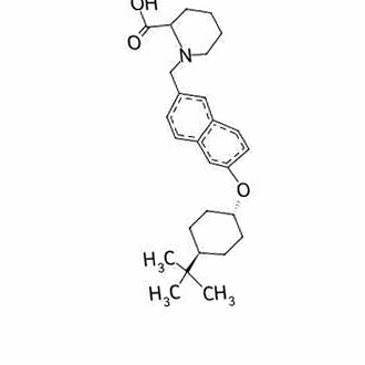 CC(C)(C)[C@H]1CC[C@H](Oc2ccc3cc(CN4CCCCC4C(=O)O)ccc3c2)CC1